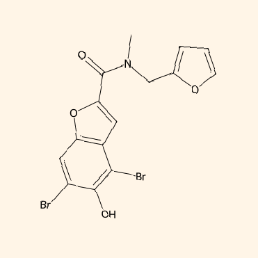 CN(Cc1ccco1)C(=O)c1cc2c(Br)c(O)c(Br)cc2o1